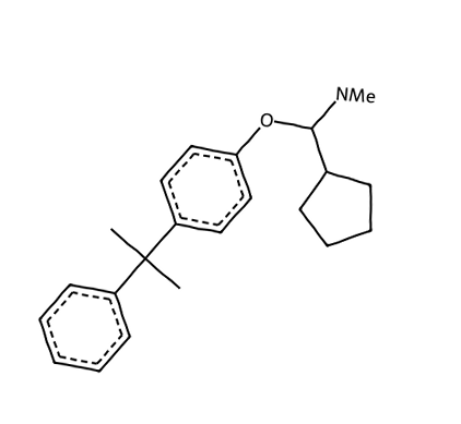 CNC(Oc1ccc(C(C)(C)c2ccccc2)cc1)C1CCCC1